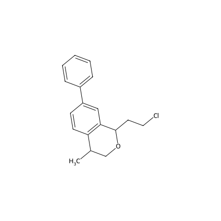 CC1COC(CCCl)c2cc(-c3ccccc3)ccc21